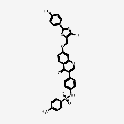 Cc1ccc(S(=O)(=O)Nc2ccc(-c3coc4cc(OCc5sc(-c6ccc(C(F)(F)F)cc6)nc5C)ccc4c3=O)cc2)cc1